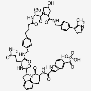 Cc1ncsc1-c1ccc(CNC(=O)[C@@H]2C[C@@H](O)CN2C(=O)[C@@H](NC(=O)CCCc2ccc(CNC(=O)[C@H](CCC(N)=O)NC(=O)[C@@H]3Cc4cccc5c4N3C(=O)[C@@H](NC(=O)c3cc4cc(C(=O)P(=O)(O)O)ccc4[nH]3)CC5)cc2)C(C)(C)C)cc1